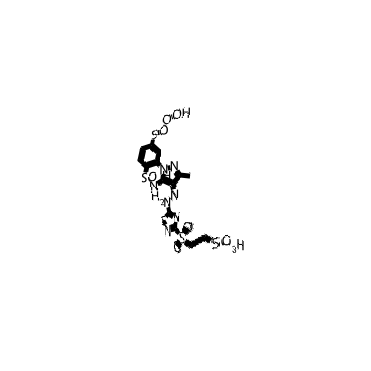 Cc1nn(-c2cc(SOOO)ccc2S(=O)(=O)O)c(N)c1N=Nc1nc(S(=O)(=O)CCS(=O)(=O)O)ns1